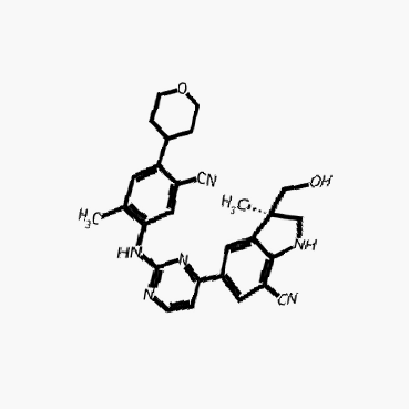 Cc1cc(C2CCOCC2)c(C#N)cc1Nc1nccc(-c2cc(C#N)c3c(c2)[C@@](C)(CO)CN3)n1